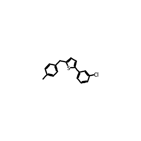 Cc1ccc(Cc2ccc(-c3cccc(Cl)c3)s2)cc1